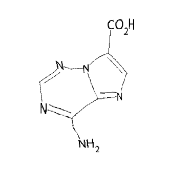 Nc1ncnn2c(C(=O)O)cnc12